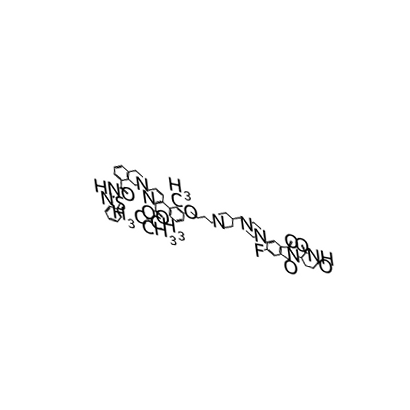 Cc1c(OCCCN2CCC(CN3CCN(c4cc5c(cc4F)C(=O)N(C4CCC(=O)NC4=O)C5=O)CC3)CC2)cccc1-c1ccc(N2CCc3cccc(C(=O)Nc4nc5ccccc5s4)c3C2)nc1C(=O)OC(C)(C)C